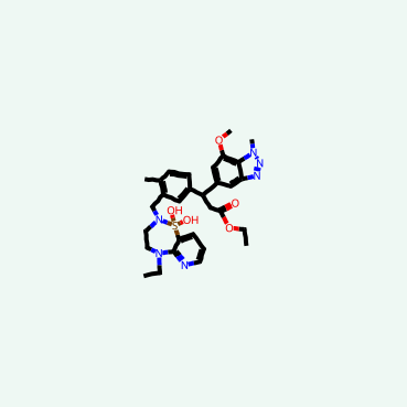 CCOC(=O)CC(c1ccc(C)c(CN2CCN(CC)c3ncccc3S2(O)O)c1)c1cc(OC)c2c(c1)nnn2C